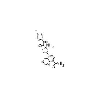 NC(=O)c1ccc(N2CCC(N)(C(=O)Nc3ccc(F)cc3)C2)c2cncnc12